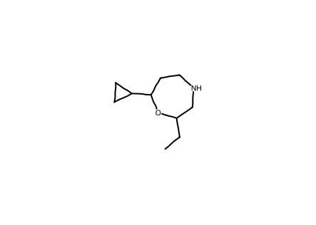 CCC1CNCCC(C2CC2)O1